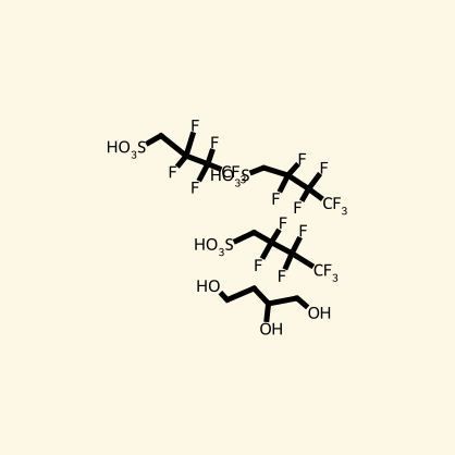 O=S(=O)(O)CC(F)(F)C(F)(F)C(F)(F)F.O=S(=O)(O)CC(F)(F)C(F)(F)C(F)(F)F.O=S(=O)(O)CC(F)(F)C(F)(F)C(F)(F)F.OCCC(O)CO